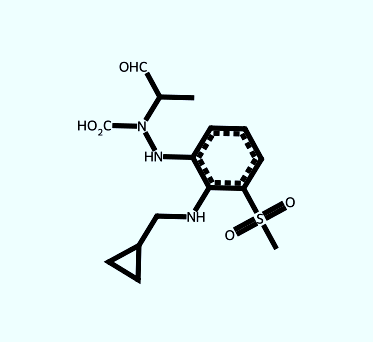 CC(C=O)N(Nc1cccc(S(C)(=O)=O)c1NCC1CC1)C(=O)O